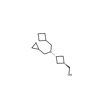 OC[C@H]1C[C@H](N(CC2CCC2)CC2CC2)C1